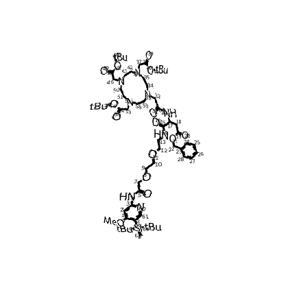 COc1cc(NC(=O)COCCOCCNC(=O)C(CC(=O)OCc2ccccc2)NC(=O)CN2CCN(CC(=O)OC(C)(C)C)CCN(CC(=O)OC(C)(C)C)CCN(CC(=O)OC(C)(C)C)CC2)ncc1[Si](F)(C(C)(C)C)C(C)(C)C